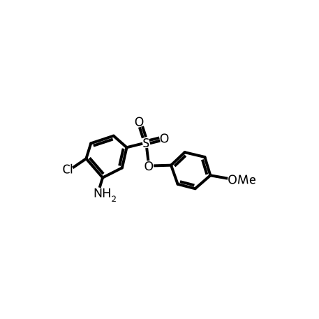 COc1ccc(OS(=O)(=O)c2ccc(Cl)c(N)c2)cc1